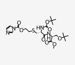 COC(=O)[C@H](COC(C)(C)C)NC(=O)[C@H](CSCCOC(=O)n1ccnc1)NC(=O)OC(C)(C)C